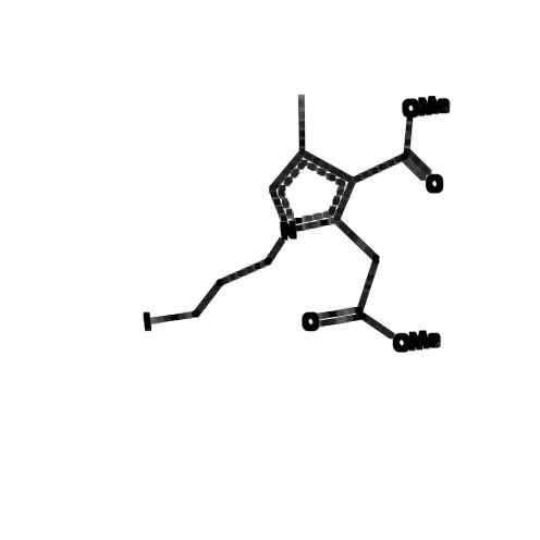 COC(=O)Cc1c(C(=O)OC)c(C)cn1CCCI